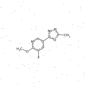 COc1ncc(-c2nnc(C)o2)cc1F